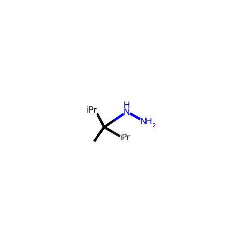 CC(C)C(C)(NN)C(C)C